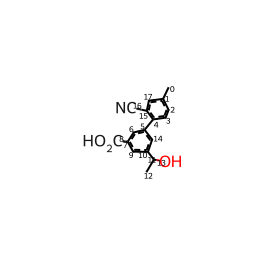 Cc1ccc(-c2cc(C(=O)O)cc(C(C)O)c2)c(C#N)c1